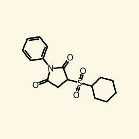 O=C1CC(S(=O)(=O)C2CCCCC2)C(=O)N1c1ccccc1